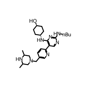 CCCCNc1ncc(-c2ccc(CN3CC(C)NC(C)C3)cn2)c(N[C@H]2CC[C@H](O)CC2)n1